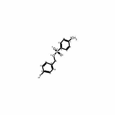 Cc1ccc(S(=O)(=O)OCc2ccc(F)cc2)cc1